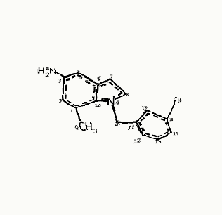 Cc1cc(N)cc2ccn(Cc3cccc(F)c3)c12